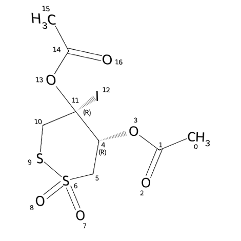 CC(=O)O[C@@H]1CS(=O)(=O)SC[C@@]1(I)OC(C)=O